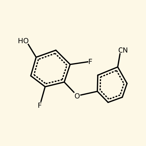 N#Cc1cccc(Oc2c(F)cc(O)cc2F)c1